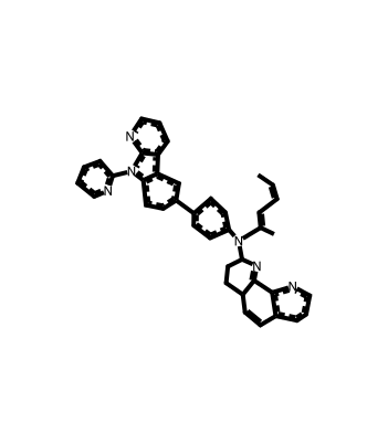 C/C=C\C=C(/C)N(c1ccc(-c2ccc3c(c2)c2cccnc2n3-c2ccccn2)cc1)C1CCC2C=Cc3cccnc3C2=N1